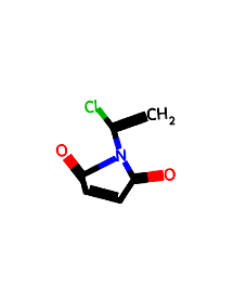 C=C(Cl)N1C(=O)C=CC1=O